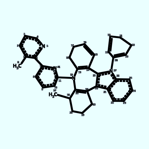 Cc1cccnc1-c1cccc(N2C3=C(C=CCC3)c3c(c4ccccc4n3C3=CCCC=C3)C3=C2C(C)CCC3)n1